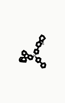 c1ccc(-c2ccc(N(c3ccc(-c4ccc5c(c4)sc4ccccc45)cc3)c3ccc4c(c3)-c3ccccc3C43C4CC5CC(C4)CC3C5)cc2)cc1